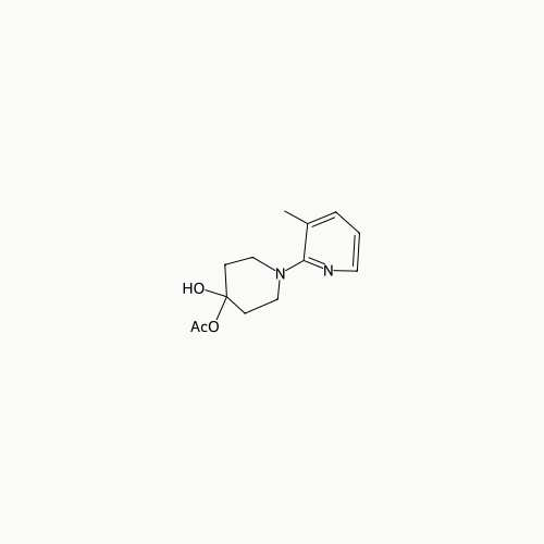 CC(=O)OC1(O)CCN(c2ncccc2C)CC1